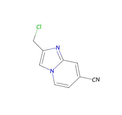 N#Cc1ccn2cc(CCl)nc2c1